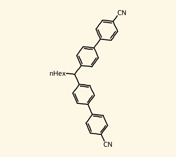 CCCCCCC(c1ccc(-c2ccc(C#N)cc2)cc1)c1ccc(-c2ccc(C#N)cc2)cc1